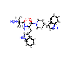 CC(C)(N)C(=O)NC(Cc1c[nH]c2ccccc12)C(=O)N1CCC(c2c[nH]c3ccccc23)CC1